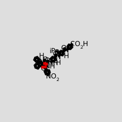 CC(C)Oc1cc(C(=O)Nc2ccc(C(=O)O)cc2)ccc1NC(=O)c1ccc(NC(=O)[C@H](CC(=O)NC(c2ccccc2)(c2ccccc2)c2ccccc2)NC(=O)c2ccc([N+](=O)[O-])cc2)cc1